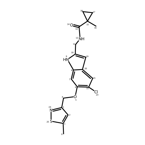 Cc1cc(COc2cc3[nH]c(CNC(=O)C4(C)CC4)cc3cc2Cl)ns1